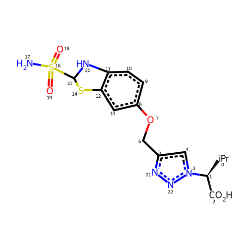 CC(C)[C@@H](C(=O)O)n1cc(COc2ccc3c(c2)SC(S(N)(=O)=O)N3)nn1